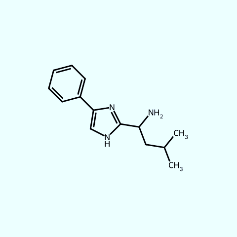 CC(C)CC(N)c1nc(-c2ccccc2)c[nH]1